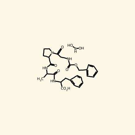 CC(NC(=O)C1CCCN1C(=O)CNC(=O)OCc1ccccc1)C(=O)NC(Cc1ccccc1)C(=O)O.OBO